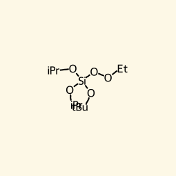 CCOO[Si](OC(C)C)(OC(C)C)OC(C)(C)C